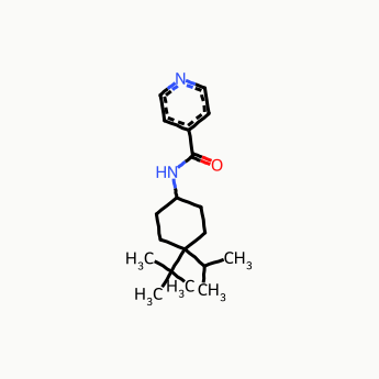 CC(C)C1(C(C)(C)C)CCC(NC(=O)c2ccncc2)CC1